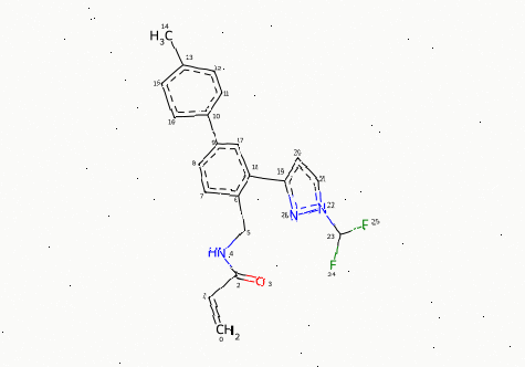 C=CC(=O)NCc1ccc(-c2ccc(C)cc2)cc1-c1ccn(C(F)F)n1